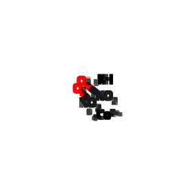 O=[N+]([O-])[O-].O=[N+]([O-])[O-].[Co+2].[KH]